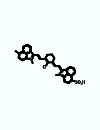 Cc1ccc2c3c(cccc13)C(/C=C/C1=C(Cl)C(=C/C=c3/c4cccc5c(S(=O)(=O)O)ccc(c54)n3C)/CCC1)=[N+]2C